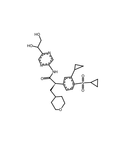 O=C(Nc1cnc(C(O)CO)cn1)[C@H](CC1CCOCC1)c1ccc(S(=O)(=O)C2CC2)c(C2CC2)c1